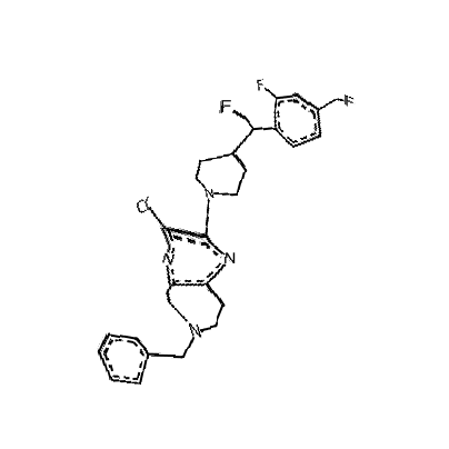 Fc1ccc(C(F)C2CCN(c3nc4c(nc3Cl)CN(Cc3ccccc3)CC4)CC2)c(F)c1